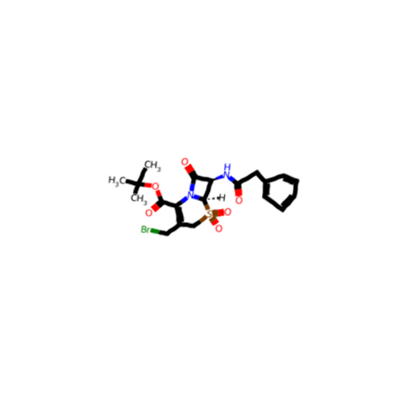 CC(C)(C)OC(=O)C1=C(CBr)CS(=O)(=O)[C@@H]2[C@H](NC(=O)Cc3ccccc3)C(=O)N12